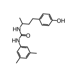 Cc1cc(C)cc(NC(=O)NC(C)CCc2ccc(O)cc2)c1